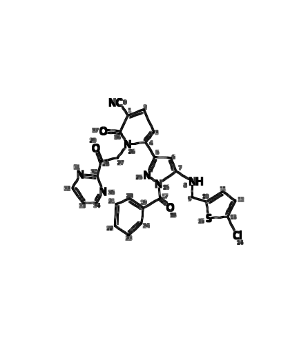 N#Cc1ccc(-c2cc(NCc3ccc(Cl)s3)n(C(=O)c3ccccc3)n2)n(CC(=O)c2ncccn2)c1=O